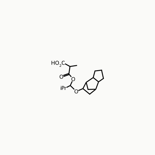 CC(C(=O)O)C(=O)OC(OC1CC2CC1C1CCCC21)C(C)C